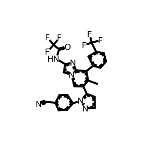 Cc1c(-c2ccnn2-c2ccc(C#N)cc2)cn2cc(NC(=O)C(F)(F)F)nc2c1-c1cccc(C(F)(F)F)c1